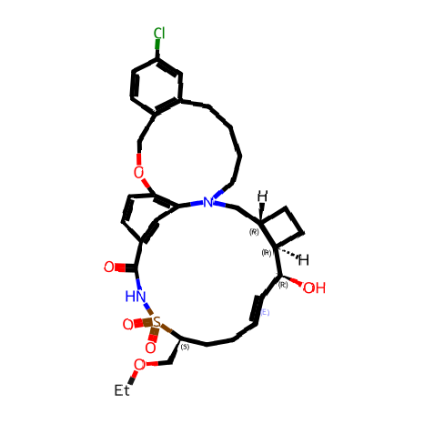 CCOC[C@@H]1CC/C=C/[C@H](O)[C@@H]2CC[C@H]2CN2CCCCc3cc(Cl)ccc3COc3ccc(cc32)C(=O)NS1(=O)=O